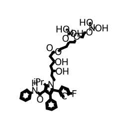 CC(C)c1c(C(=O)Nc2ccccc2)c(-c2ccccc2)c(-c2ccc(F)cc2)n1CCC(O)CC(O)CC(=O)OCCC(COCCON(O)O)ON(O)O